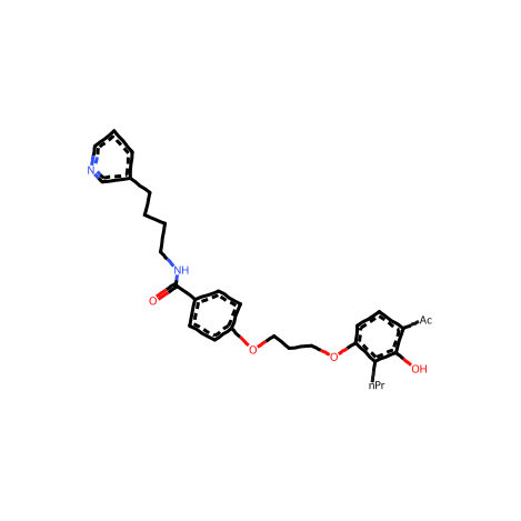 CCCc1c(OCCCOc2ccc(C(=O)NCCCCc3cccnc3)cc2)ccc(C(C)=O)c1O